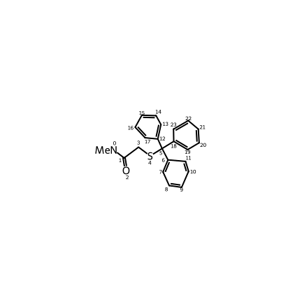 CNC(=O)CSC(c1ccccc1)(c1ccccc1)c1ccccc1